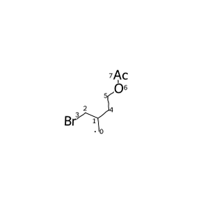 [CH2]C(CBr)CCOC(C)=O